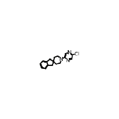 Clc1cnc(N2CCC3(CC2)Cc2ccccc2C3)cn1